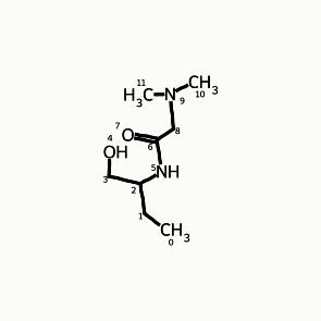 CCC(CO)NC(=O)CN(C)C